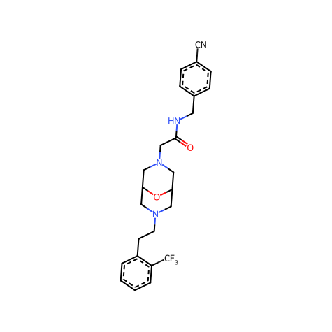 N#Cc1ccc(CNC(=O)CN2CC3CN(CCc4ccccc4C(F)(F)F)CC(C2)O3)cc1